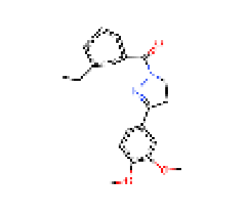 CCc1cccc(C(=O)N2CCC(c3ccc(OC)c(OC)c3)=N2)c1